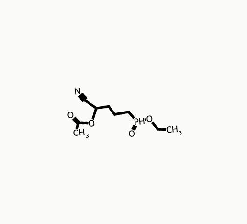 CCO[PH](=O)CCCC(C#N)OC(C)=O